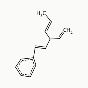 C=CC(C=CC)C=Cc1ccccc1